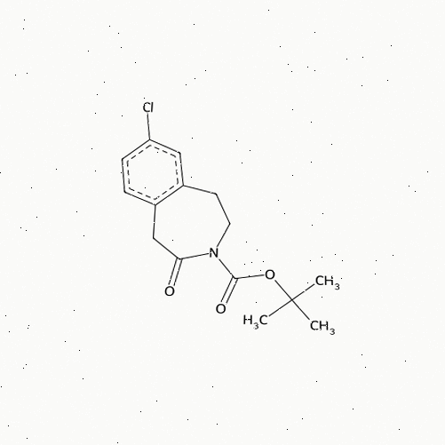 CC(C)(C)OC(=O)N1CCc2cc(Cl)ccc2CC1=O